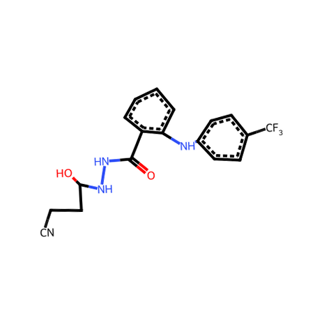 N#CCCC(O)NNC(=O)c1ccccc1Nc1ccc(C(F)(F)F)cc1